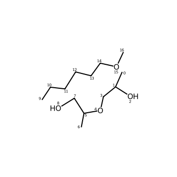 CC(O)COC(C)CO.CCCCCCOC